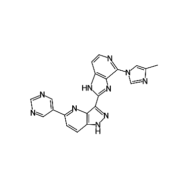 Cc1cn(-c2nccc3[nH]c(-c4n[nH]c5ccc(-c6cncnc6)nc45)nc23)cn1